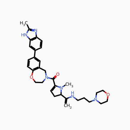 C=C(NCCCN1CCOCC1)C1CC=C(C(=O)N2CCOc3ccc(-c4ccc5nc(C)[nH]c5c4)cc3C2)N1C